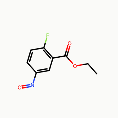 CCOC(=O)c1cc(N=O)ccc1F